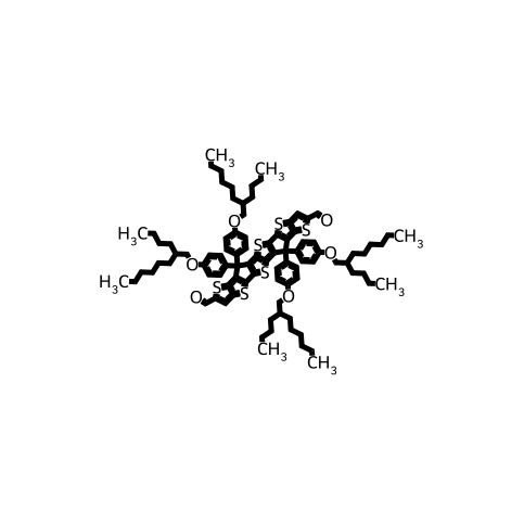 CCCCCCC(CCCC)COc1ccc(C2(c3ccc(OCC(CCCC)CCCCCC)cc3)c3c(sc4cc(C=O)sc34)-c3sc4c5c(sc4c32)-c2sc3cc(C=O)sc3c2C5(c2ccc(OCC(CCCC)CCCCCC)cc2)c2ccc(OCC(CCCC)CCCCCC)cc2)cc1